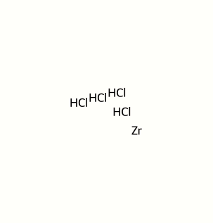 Cl.Cl.Cl.Cl.[Zr]